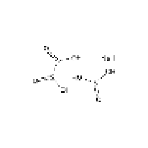 O=S(O)O.O=S(O)S(=O)O.[NaH]